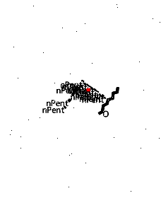 CCCCCC.CCCCCC.CCCCCC.CCCCCC.CCCCCC.CCCCCC.CCCCCC.CCCCCC.CCCCCC.CCCCCC.CCCCCC.CCCCCC.CCCCCC.CCCCCC.CCCCCCCC(C)=O